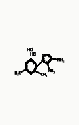 Cc1ccc(-n2ncc(N)c2N)c(C)c1.Cl.Cl